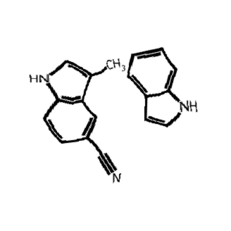 Cc1c[nH]c2ccc(C#N)cc12.c1ccc2[nH]ccc2c1